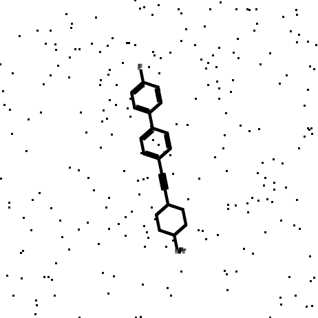 CCCC1CCC(C#Cc2ccc(-c3ccc(F)cc3)cc2)CC1